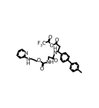 Cc1ccc(-c2ccc(C(CC(=O)OC(=O)C(F)(F)F)NC(=O)CNC(=O)OCCNc3ccccn3)cc2)cc1